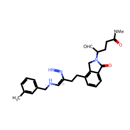 CNC(=O)CCC(C=O)N1Cc2c(CC/C(=C/NCc3cccc(C)c3)N=N)cccc2C1=O